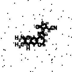 CC(Nc1ccc2c(c1)OCCn1cc(N3C(=O)SC[C@H]3CC#N)nc1-2)C(N)=O